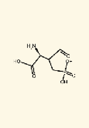 N[C@H](C(=O)O)C(C=O)CP(=O)(O)O